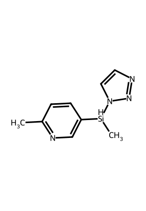 Cc1ccc([SiH](C)n2ccnn2)cn1